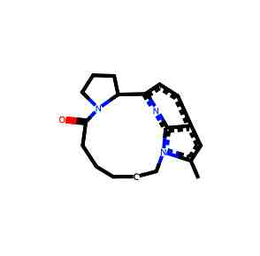 Cc1cc2ccc3nc2n1CCCCCC(=O)N1CCCC31